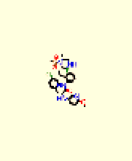 COc1ccc(N[C@@H](Cc2ccc(Cl)cc2)C(=O)Nc2cccc(F)c2CC[C@H]2CNC[C@H](C)N2S(C)(=O)=O)cn1